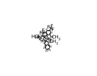 C[C@@H](c1cc(C(F)(F)F)cc(C(F)(F)F)c1)N(C)C(=O)C1(N2CCNCC2)Cc2ccccc2C1.Cl